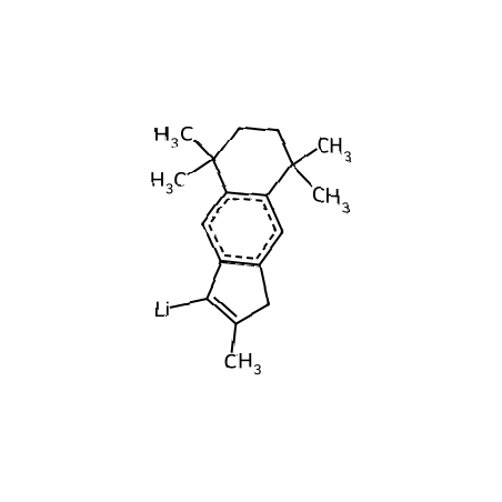 [Li][C]1=C(C)Cc2cc3c(cc21)C(C)(C)CCC3(C)C